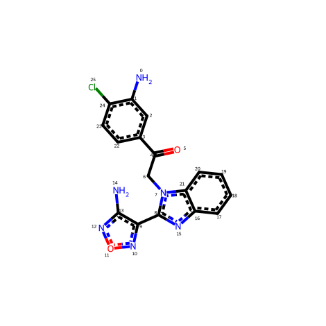 Nc1cc(C(=O)Cn2c(-c3nonc3N)nc3ccccc32)ccc1Cl